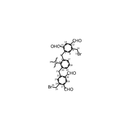 C[Si](C)(C)c1c(Cc2cc(CBr)c(C=O)cc2C=O)cccc1Cc1cc(CBr)c(C=O)cc1C=O